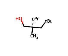 CCCCC[C@@](C)(CO)CCC